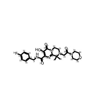 CC1(C)c2nc(C(=O)NCc3ccc(F)cc3)c(O)c(=O)n2CCN1CC(=O)N1CCOCC1